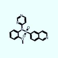 COc1ccccc1N(c1ccncn1)S(=O)(=O)c1ccc2cnccc2c1